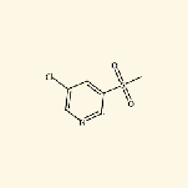 CS(=O)(=O)c1[c]ncc(Cl)c1